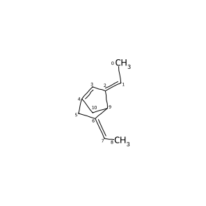 C/C=C1\C=C2C/C(=C/C)C1C2